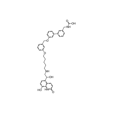 O=C(O)NCc1cccc(-c2cccc(OCc3cccc(OCCCCCNCC(O)c4ccc(O)c5[nH]c(=O)ccc45)c3)c2)c1